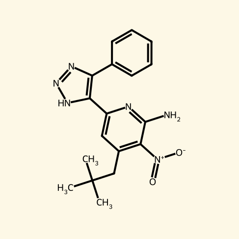 CC(C)(C)Cc1cc(-c2[nH]nnc2-c2ccccc2)nc(N)c1[N+](=O)[O-]